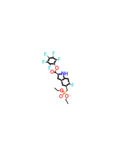 CCOP(=O)(Cc1cc2cc(C(=O)Oc3c(F)c(F)c(F)c(F)c3F)[nH]c2cc1F)OCC